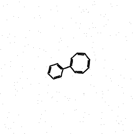 C1=CC=CC(c2ccccc2)=CC=C1